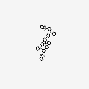 c1ccc(N(c2ccc(-c3ccc4c(c3)C(c3ccccc3)(c3ccccc3)c3cc(N(c5ccccc5)c5cccc(-c6nc7ccccc7o6)c5)ccc3-4)cc2)c2cccc(-c3nc4ccccc4o3)c2)cc1